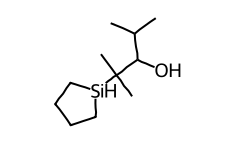 CC(C)C(O)C(C)(C)[SiH]1CCCC1